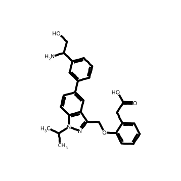 CC(C)n1nc(COc2ccccc2CC(=O)O)c2cc(-c3cccc(C(N)CO)c3)ccc21